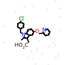 Cc1c(CC(=O)O)c2cc(OCc3ccccn3)ccc2n1Cc1ccc(Cl)cc1